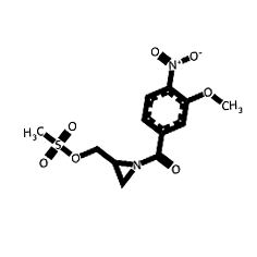 COc1cc(C(=O)N2CC2COS(C)(=O)=O)ccc1[N+](=O)[O-]